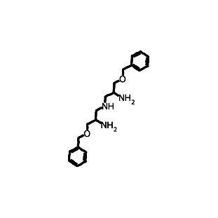 NC(CNCC(N)COCc1ccccc1)COCc1ccccc1